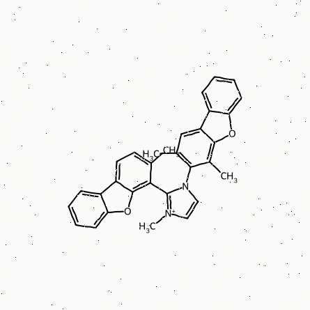 Cc1cc2c(oc3ccccc32)c(C)c1-n1cc[n+](C)c1-c1c(C)ccc2c1oc1ccccc12